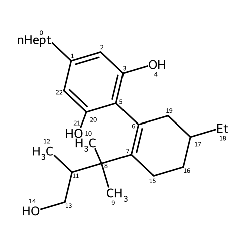 CCCCCCCc1cc(O)c(C2=C(C(C)(C)C(C)CO)CCC(CC)C2)c(O)c1